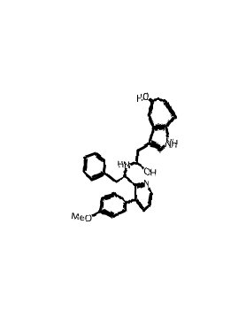 COc1ccc(-c2cccnc2[C@@H](Cc2ccccc2)NC(O)Cc2c[nH]c3ccc(O)cc23)cc1